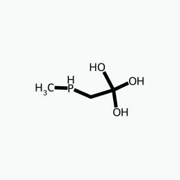 CPCC(O)(O)O